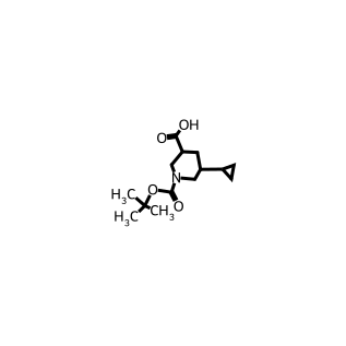 CC(C)(C)OC(=O)N1CC(C(=O)O)CC(C2CC2)C1